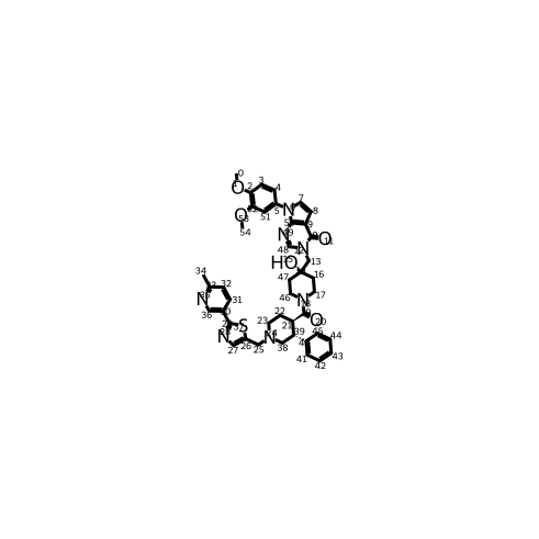 COc1ccc(-n2ccc3c(=O)n(CC4(O)CCN(C(=O)[C@@H]5CCN(Cc6cnc(-c7ccc(C)nc7)s6)C[C@H]5c5ccccc5)CC4)cnc32)cc1OC